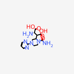 NC(=O)N1CCN(c2ncccn2)CC1C(C(=O)O)[C@H](N)C(=O)O